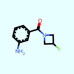 Nc1cccc(C(=O)N2CC(F)C2)c1